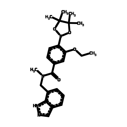 CCOc1cc(C(=O)N(C)Cc2cccc3cn[nH]c23)ccc1B1OC(C)(C)C(C)(C)O1